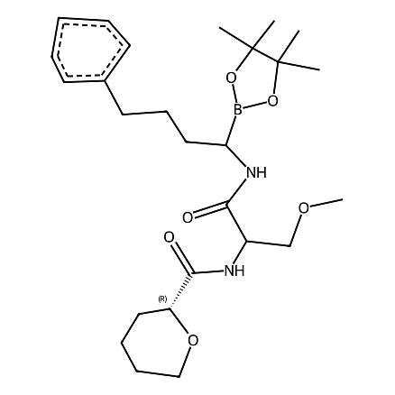 COCC(NC(=O)[C@H]1CCCCO1)C(=O)NC(CCCc1ccccc1)B1OC(C)(C)C(C)(C)O1